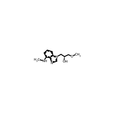 CNc1cccc2c1ncn2C[C@H](O)COC